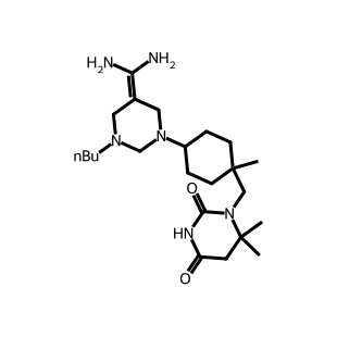 CCCCN1CC(=C(N)N)CN(C2CCC(C)(CN3C(=O)NC(=O)CC3(C)C)CC2)C1